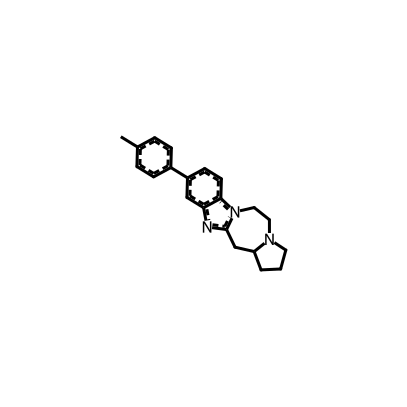 Cc1ccc(-c2ccc3c(c2)nc2n3CCN3CCCC3C2)cc1